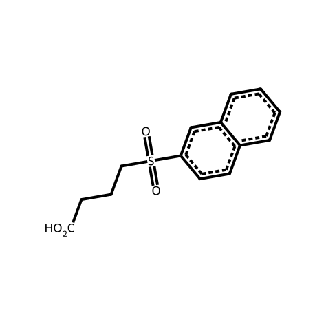 O=C(O)CCCS(=O)(=O)c1ccc2ccccc2c1